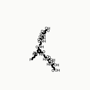 O=C(O)CCC(NC(=O)C[C@@H](NC(=O)CCNC(=O)c1cc(C(=O)NCCC(=O)N[C@H](CC(=O)NC(CCC(=O)O)C(=O)O)C(=O)O)cc(-n2cc(CCCF)nn2)c1)C(=O)O)C(=O)O